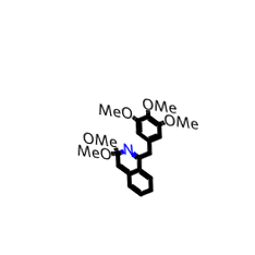 COc1cc(CC2=NC(OC)(OC)C=C3C=CCC=C32)cc(OC)c1OC